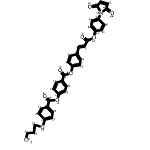 O=C(/C=C/c1ccc(OC(=O)c2ccc(OC(=O)c3ccc(OCCCC(F)(F)F)cc3)cc2)cc1)Oc1ccc(N2C(=O)C=CC2=O)cc1